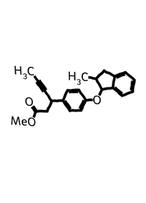 CC#CC(CC(=O)OC)c1ccc(OC2c3ccccc3CC2C)cc1